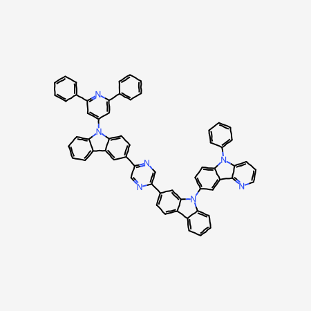 c1ccc(-c2cc(-n3c4ccccc4c4cc(-c5cnc(-c6ccc7c8ccccc8n(-c8ccc9c(c8)c8ncccc8n9-c8ccccc8)c7c6)cn5)ccc43)cc(-c3ccccc3)n2)cc1